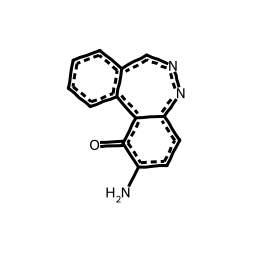 Nc1ccc2nncc3ccccc3c-2c1=O